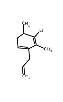 C=CCC1=CCC(C)C(CC)=C1C